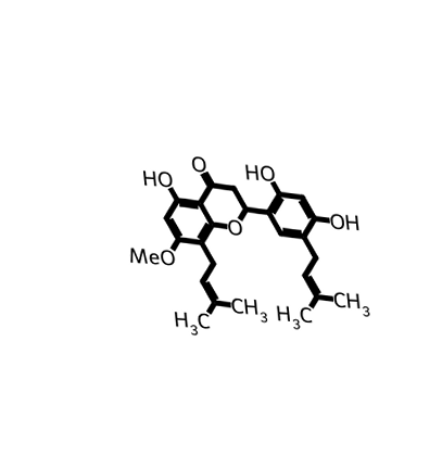 COc1cc(O)c2c(c1CC=C(C)C)OC(c1cc(CC=C(C)C)c(O)cc1O)CC2=O